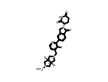 O=C1CC[C@H](N2Cc3cc(-c4nccc(CN5C[C@@H]6CN(C(=O)O)C[C@@H]6C5)c4F)ccc3C2=O)C(=O)N1